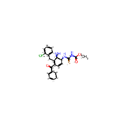 COC(=O)NC(=S)NC1C=CC(C(=O)c2ccccc2)=C(Cc2ccccc2Cl)C1=N